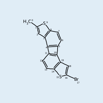 Cc1cc2c3c(ccc2s1)-c1c-3ccc2sc(Br)cc12